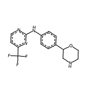 FC(F)(F)c1ccnc(Nc2ccc(C3CNCCO3)cc2)n1